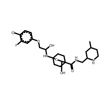 CC1CCNC(CNC(=O)C23CCC(NC(O)COc4ccc(Cl)c(F)c4)(CC2)CC3O)C1